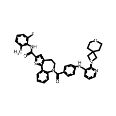 Cc1cccc(F)c1NC(=O)c1cc2c(s1)-c1ccccc1N(C(=O)c1ccc(Nc3cccnc3N3CC4(CCOCC4)C3)cc1)CC2